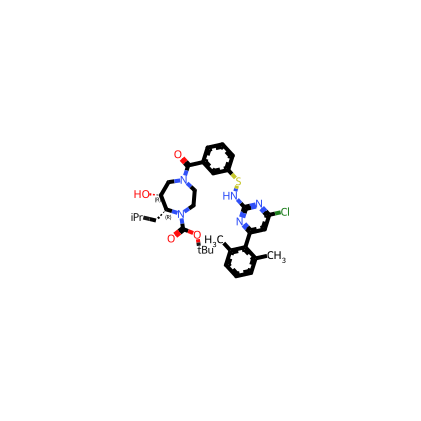 Cc1cccc(C)c1-c1cc(Cl)nc(NSc2cccc(C(=O)N3CCN(C(=O)OC(C)(C)C)[C@H](CC(C)C)[C@H](O)C3)c2)n1